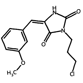 COc1cccc(/C=C2/NC(=O)N(CCCCl)C2=O)c1